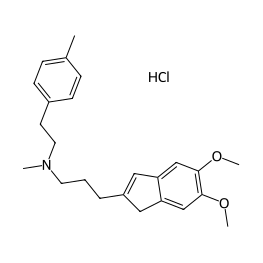 COc1cc2c(cc1OC)CC(CCCN(C)CCc1ccc(C)cc1)=C2.Cl